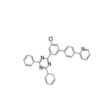 Clc1cc(-c2ccc(-c3ccccn3)cc2)cc(-c2nc(-c3ccccc3)nc(C3C=CC=CC3)n2)c1